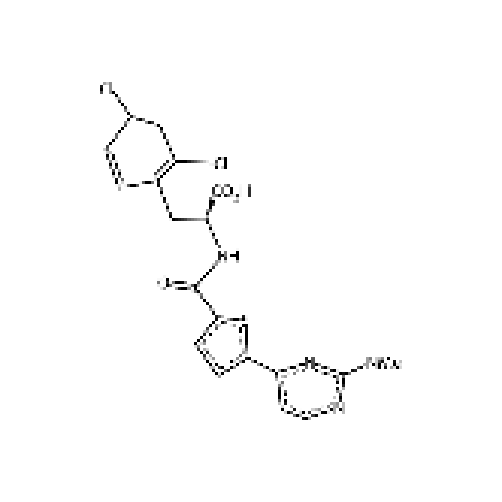 CNc1nccc(-c2ccc(C(=O)N[C@@H](CC3=C(Cl)CC(Cl)C=C3)C(=O)O)s2)n1